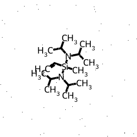 C=C[Si](C)(N(C(C)C)C(C)C)N(C(C)C)C(C)C